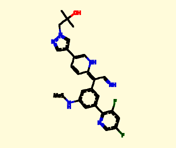 CSNc1cc(/C(C=N)=C2\C=CC(c3cnn(CC(C)(C)O)c3)=CN2)cc(-c2ncc(F)cc2F)c1